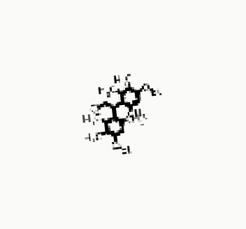 CCOc1cc(C)c(C(CCl)c2c(C)cc(OCC)c(C)c2C)c(C)c1C